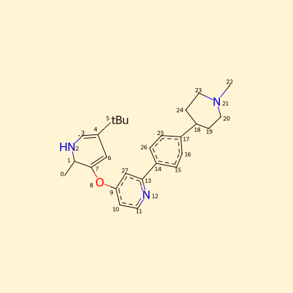 CC1N[C]=C(C(C)(C)C)C=C1Oc1ccnc(-c2ccc(C3CCN(C)CC3)cc2)c1